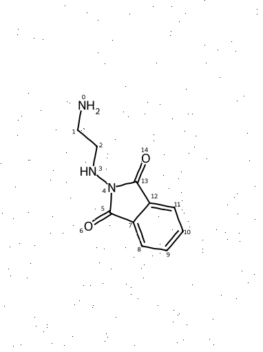 NCCNN1C(=O)c2ccccc2C1=O